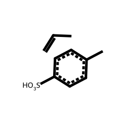 C=CC.Cc1ccc(S(=O)(=O)O)cc1